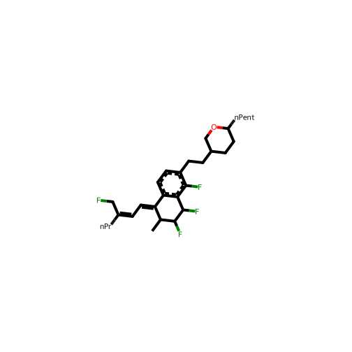 CCCCCC1CCC(CCc2ccc3c(c2F)C(F)C(F)C(C)/C3=C\C=C(/CF)CCC)CO1